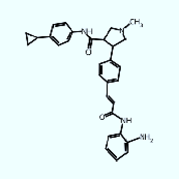 CN1CC(C(=O)Nc2ccc(C3CC3)cc2)C(c2ccc(/C=C/C(=O)Nc3ccccc3N)cc2)C1